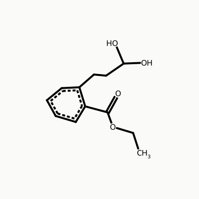 CCOC(=O)c1ccccc1CCC(O)O